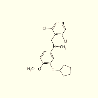 COc1ccc(N(C)Cc2c(Cl)cncc2Cl)cc1OC1CCCC1